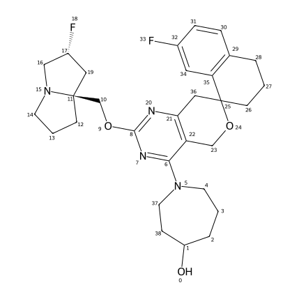 OC1CCCN(c2nc(OC[C@@]34CCCN3C[C@H](F)C4)nc3c2COC2(CCCc4ccc(F)cc42)C3)CC1